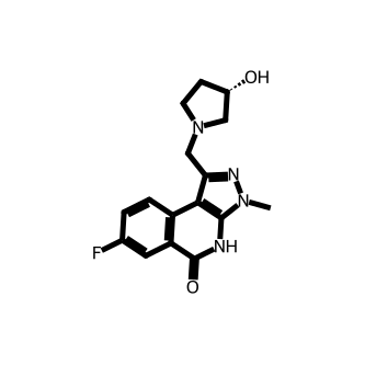 Cn1nc(CN2CC[C@H](O)C2)c2c3ccc(F)cc3c(=O)[nH]c21